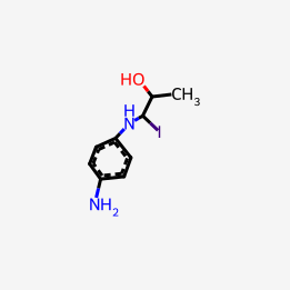 CC(O)C(I)Nc1ccc(N)cc1